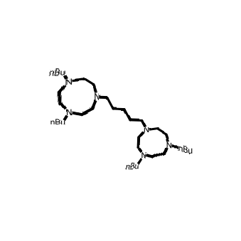 CCCCN1CCN(CCCC)CCN(CCCCCN2CCN(CCCC)CCN(CCCC)CC2)CC1